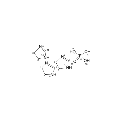 C1=NCCN1.C1=NCCN1.C1=NCCN1.O=P(O)(O)O